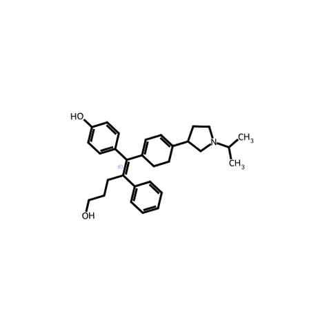 CC(C)N1CCC(C2=CC=C(/C(=C(/CCCO)c3ccccc3)c3ccc(O)cc3)CC2)C1